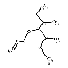 C=CCOC(C(C)CC)C(C)CC